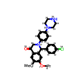 COc1cc2c(cc1OC(C)C)C(c1ccc(Cl)cc1)N(c1ccc(N3CCNCC3)cc1)CC2=O